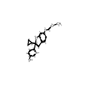 COCOc1ccc2c(c1)OC(c1ccc(O)cn1)(C1CC1)C2